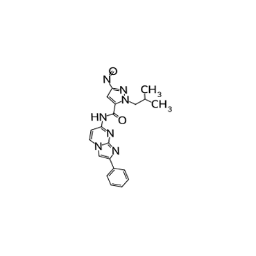 CC(C)Cn1nc(N=O)cc1C(=O)Nc1ccn2cc(-c3ccccc3)nc2n1